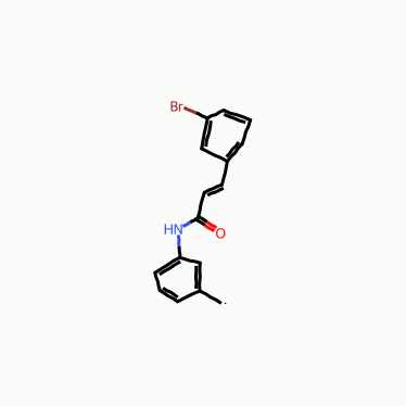 [CH2]c1cccc(NC(=O)C=Cc2cccc(Br)c2)c1